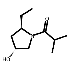 CC[C@@H]1C[C@@H](O)CN1C(=O)C(C)C